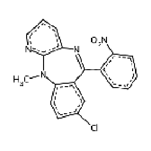 CN1c2ccc(Cl)cc2C(c2ccccc2[N+](=O)[O-])=Nc2cccnc21